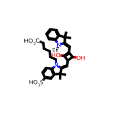 CCN1C(=CC2=C(O)C(C=C3N(CCCCCC(=O)O)c4ccc(S(=O)(=O)O)cc4C3(C)C)C2O)C(C)(C)c2ccccc21